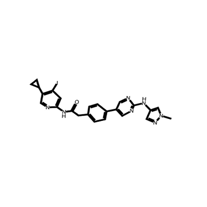 Cn1cc(Nc2ncc(-c3ccc(CC(=O)Nc4cc(I)c(C5CC5)cn4)cc3)cn2)cn1